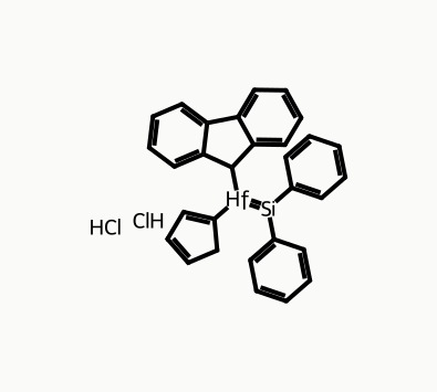 C1=CC[C]([Hf]([CH]2c3ccccc3-c3ccccc32)=[Si](c2ccccc2)c2ccccc2)=C1.Cl.Cl